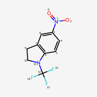 O=[N+]([O-])c1ccc2c(c1)CCN2C(F)(F)F